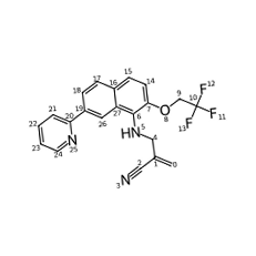 C=C(C#N)CNc1c(OCC(F)(F)F)ccc2ccc(-c3ccccn3)cc12